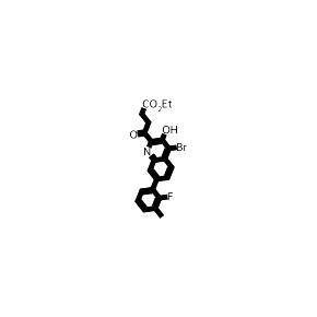 CCOC(=O)CCC(=O)c1nc2cc(-c3cccc(C)c3F)ccc2c(Br)c1O